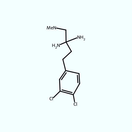 CNCC(N)(N)CCc1ccc(Cl)c(Cl)c1